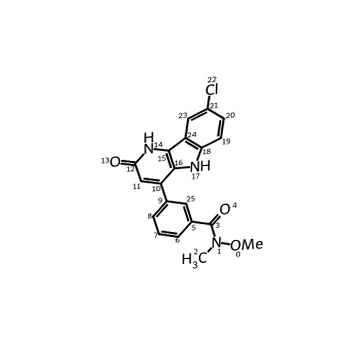 CON(C)C(=O)c1cccc(-c2cc(=O)[nH]c3c2[nH]c2ccc(Cl)cc23)c1